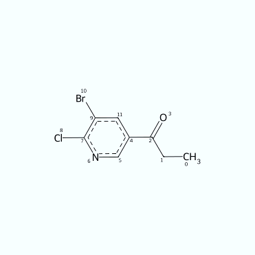 CCC(=O)c1cnc(Cl)c(Br)c1